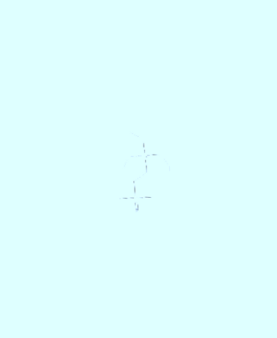 CCO[Si](CCP(C)(C)=O)(OCC)OCC